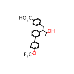 CC(O)C(Cc1ccc(C(=O)O)cc1)c1cccc(-c2ccc(OC(F)(F)F)cc2)c1